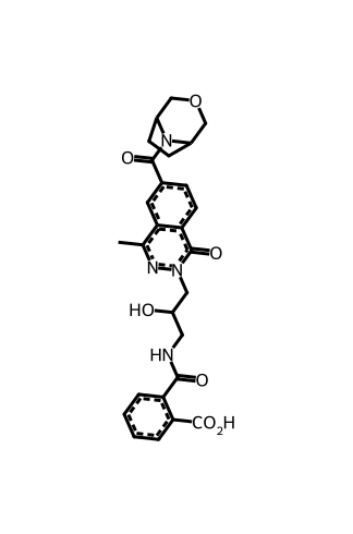 Cc1nn(CC(O)CNC(=O)c2ccccc2C(=O)O)c(=O)c2ccc(C(=O)N3C4CCC3COC4)cc12